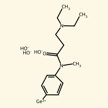 CCN(CC)CCC(=O)N(C)c1cc[c]([Ge+3])cc1.[OH-].[OH-].[OH-]